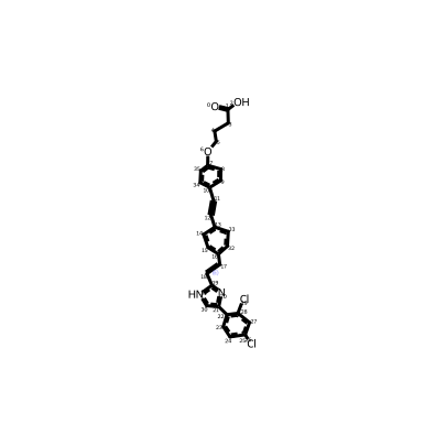 O=C(O)CCCOc1ccc(C#Cc2ccc(/C=C/c3nc(-c4ccc(Cl)cc4Cl)c[nH]3)cc2)cc1